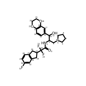 O=C(NC(CN1CCCC1)C(O)c1ccc2c(c1)OCCO2)C(F)(F)C1Cc2ccc(F)cc2C1